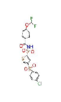 O=C(NS(=O)(=O)c1cc(S(=O)(=O)c2ccc(Cl)cc2)cs1)c1ccc(OC(F)F)cc1